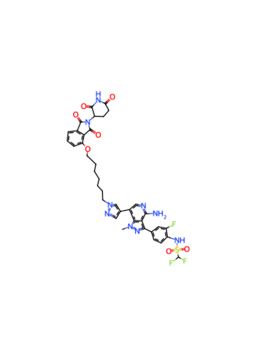 Cn1nc(-c2ccc(NS(=O)(=O)C(F)F)c(F)c2)c2c(N)ncc(-c3cnn(CCCCCCCOc4cccc5c4C(=O)N(C4CCC(=O)NC4=O)C5=O)c3)c21